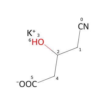 N#CCC(O)CC(=O)[O-].[K+]